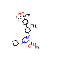 Cc1cc(CN2CCN(Cc3ccncc3)C[C@@H]2CC(=O)OC(C)C)ccc1-c1ccc(C(O)(C(F)(F)F)C(F)(F)F)cc1